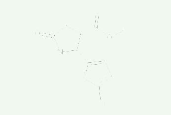 COC(=O)[C@H]1CC(=O)NC1c1ccc(Cl)s1